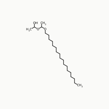 CCCCCCCCCCCCCCCCCCOC(C)OC(C)O